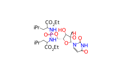 CCOC(=O)C(CC(C)C)NP(=O)(NC(CC(C)C)C(=O)OCC)OC[C@H]1O[C@@H](n2ccc(=O)[nH]c2=O)[C@@](C)(O)C1O